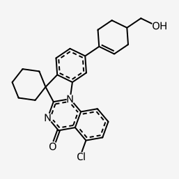 O=c1nc2n(c3cccc(Cl)c13)-c1cc(C3=CCC(CO)CC3)ccc1C21CCCCC1